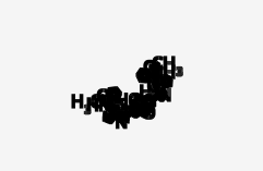 CC(=O)N[C@@H](C(=O)N1CCC[C@H]1c1ncc(-c2cc3c4c(c2)OCc2cc(-c5cnc([C@@H]6CCCN6C(=O)[C@H](NC(C)=O)c6ccccc6)[nH]5)cc(c2-4)OC3)[nH]1)c1ccccc1